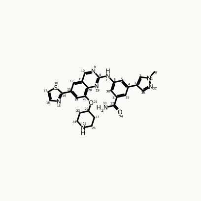 Cn1cc(-c2cc(Nc3ncc4cc(-c5nccs5)cc(OC5CCNCC5)c4n3)cc(C(N)=O)c2)cn1